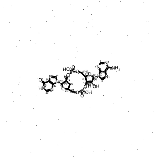 Nc1ncnc2c1ncn2[C@@H]1O[C@@H]2COP(=O)(O)O[C@@H]3C[C@@H](COP(=O)(O)O[C@H]2[C@H]1O)O[C@H]3n1cnc2c(=O)[nH]cnc21